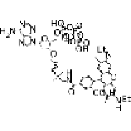 CC/N=c1/cc2oc3cc(NCC)c(C)cc3c(-c3ccc(C(=O)NCC(C)(C)SSCO[C@@H]4C[C@H](n5cnc6c(N)ncnc65)OC4COP(=O)(O)OP(=O)(O)OP(=O)(O)O)cc3C(=O)O)c-2cc1C